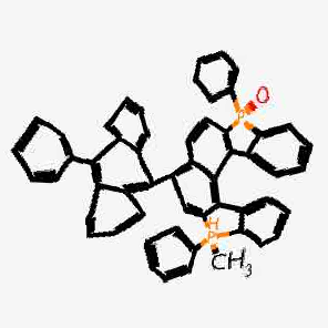 C[PH]1(c2ccccc2)c2ccccc2-c2c1cc(-c1c3ccccc3c(-c3ccccc3)c3ccccc13)c1ccc3c(c21)-c1ccccc1P3(=O)C1=CC=CCC1